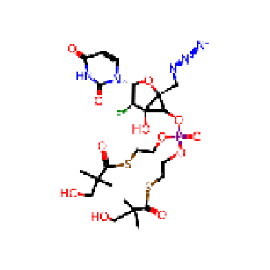 CC(C)(CO)C(=O)SCCOP(=O)(OCCSC(=O)C(C)(C)CO)OC1[C@@]2(CN=[N+]=[N-])O[C@@H](n3ccc(=O)[nH]c3=O)[C@H](F)[C@@]12O